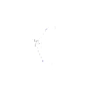 CCCCCCC/C=C/CCCCCCCNC(=O)C(CN)NC(=O)CCCCCCC/C=C/CCCCCCC